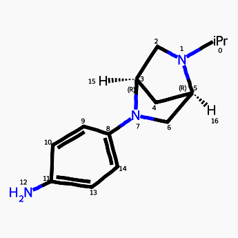 CC(C)N1C[C@H]2C[C@@H]1CN2c1ccc(N)cc1